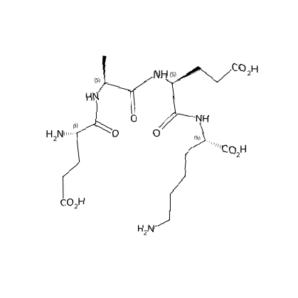 C[C@H](NC(=O)[C@@H](N)CCC(=O)O)C(=O)N[C@@H](CCC(=O)O)C(=O)N[C@@H](CCCCN)C(=O)O